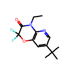 CCN1C(=O)C(F)(F)Oc2cc(C(C)(C)C)cnc21